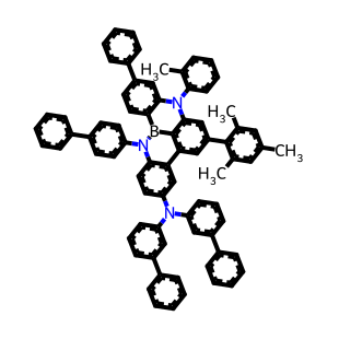 Cc1cc(C)c(-c2cc3c4c(c2)N(c2ccccc2C)c2cc(-c5ccccc5)ccc2B4N(c2ccc(-c4ccccc4)cc2)c2ccc(N(c4cccc(-c5ccccc5)c4)c4cccc(-c5ccccc5)c4)cc2-3)c(C)c1